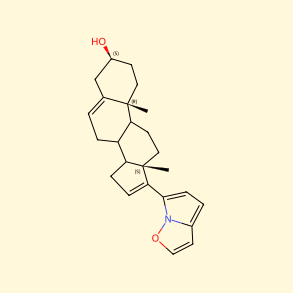 C[C@]12CC[C@H](O)CC1=CCC1C2CC[C@]2(C)C(c3ccc4ccon34)=CCC12